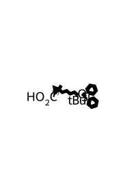 CC1(CCCCCO[Si](c2ccccc2)(c2ccccc2)C(C)(C)C)C[C@@H]1C(=O)O